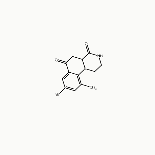 Cc1cc(Br)cc2c1N1CCNC(=O)C1CC2=O